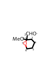 COC1([C]=O)CCCCO1